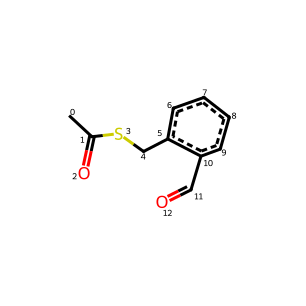 CC(=O)SCc1ccccc1C=O